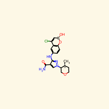 C[C@H]1CCOCC1n1cc(C(N)=O)c(Nc2ccc3c(c2)C(Cl)=CB(O)O3)n1